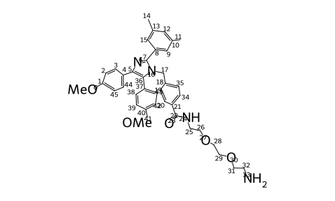 COc1ccc(-c2nc(-c3cc(C)cc(C)c3)n(Cc3ccc(C(=O)NCCOCCOCCN)cc3)c2-c2ccc(OC)cc2)cc1